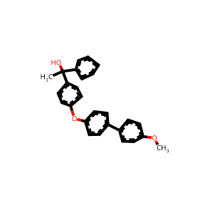 COc1ccc(-c2ccc(Oc3ccc(C(C)(O)c4ccccc4)cc3)cc2)cc1